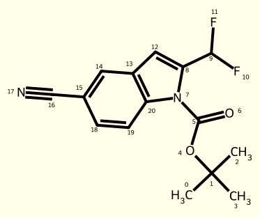 CC(C)(C)OC(=O)n1c(C(F)F)cc2cc(C#N)ccc21